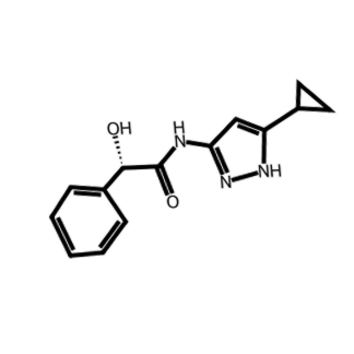 O=C(Nc1cc(C2CC2)[nH]n1)[C@@H](O)c1ccccc1